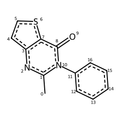 Cc1nc2ccsc2c(=O)n1-c1ccccc1